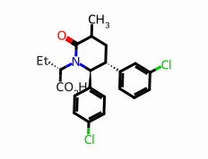 CC[C@@H](C(=O)O)N1C(=O)C(C)C[C@H](c2cccc(Cl)c2)[C@H]1c1ccc(Cl)cc1